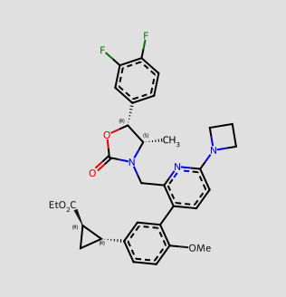 CCOC(=O)[C@@H]1C[C@H]1c1ccc(OC)c(-c2ccc(N3CCC3)nc2CN2C(=O)O[C@H](c3ccc(F)c(F)c3)[C@@H]2C)c1